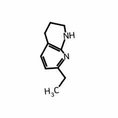 CCc1ccc2c(n1)NCCC2